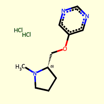 CN1CCC[C@H]1COc1cncnc1.Cl.Cl